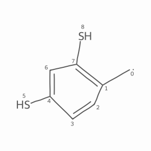 [CH2]c1ccc(S)cc1S